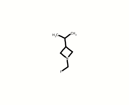 CC(C)C1CN(CF)C1